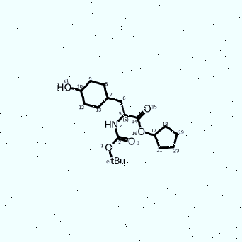 CC(C)(C)OC(=O)N[C@@H](CC1CCC(O)CC1)C(=O)OC1CCCC1